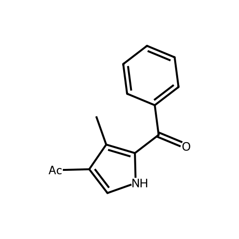 CC(=O)c1c[nH]c(C(=O)c2ccccc2)c1C